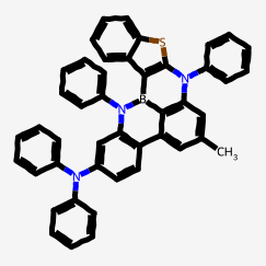 Cc1cc2c3c(c1)N(c1ccccc1)c1sc4ccccc4c1B3N(c1ccccc1)c1cc(N(c3ccccc3)c3ccccc3)ccc1-2